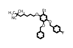 CCc1cc(OCc2ccc(F)cc2)c(OCc2ccccc2)cc1OCCCCCC(C)(C)C#N